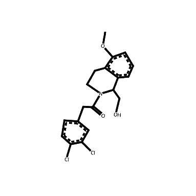 COc1cccc2c1CCN(C(=O)Cc1ccc(Cl)c(Cl)c1)C2CO